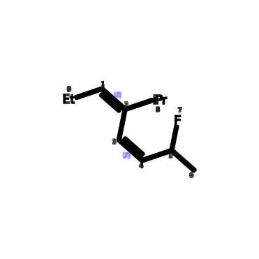 CC/C=C(\C=C/C(C)F)C(C)C